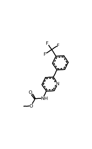 COC(=O)Nc1ccc(-c2cccc(C(F)(F)F)c2)nc1